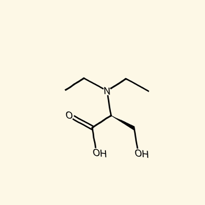 CCN(CC)[C@@H](CO)C(=O)O